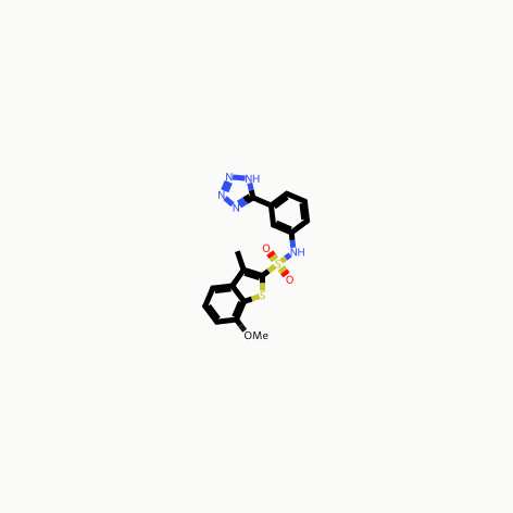 COc1cccc2c(C)c(S(=O)(=O)Nc3cccc(-c4nnn[nH]4)c3)sc12